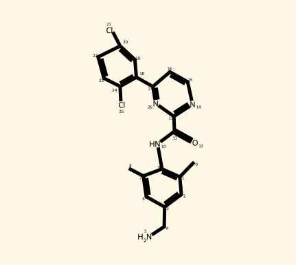 Cc1cc(CN)cc(C)c1NC(=O)c1nccc(-c2cc(Cl)ccc2Cl)n1